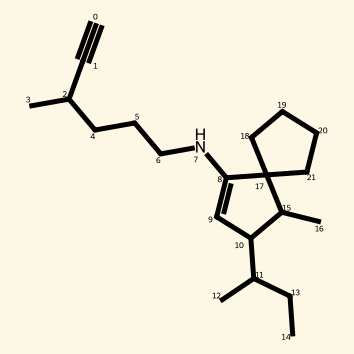 C#CC(C)CCCNC1=CC(C(C)CC)C(C)C12CCCC2